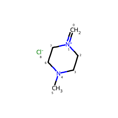 C=[N+]1CCN(C)CC1.[Cl-]